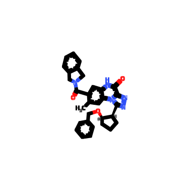 Cc1cc2c(cc1C(=O)N1Cc3ccccc3C1)[nH]c(=O)c1nnc([C@H]3CCC[C@H]3OCc3ccccc3)n12